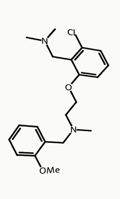 COc1ccccc1CN(C)CCOc1cccc(Cl)c1CN(C)C